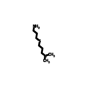 CN(C)CCCSCCCN